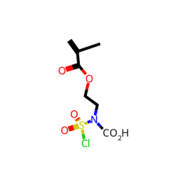 C=C(C)C(=O)OCCN(C(=O)O)S(=O)(=O)Cl